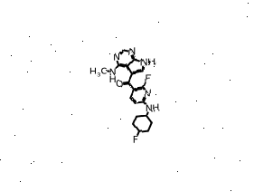 CNc1ncnc2[nH]cc(C(=O)c3ccc(NC4CCC(F)CC4)nc3F)c12